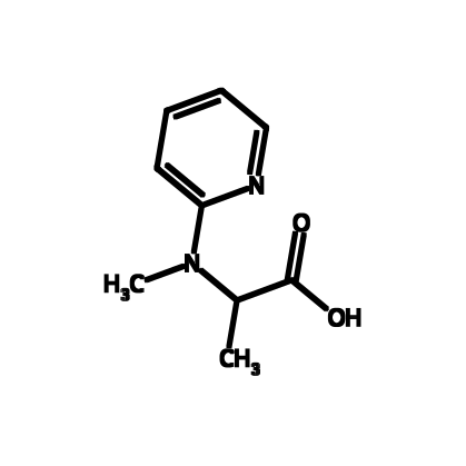 CC(C(=O)O)N(C)c1ccccn1